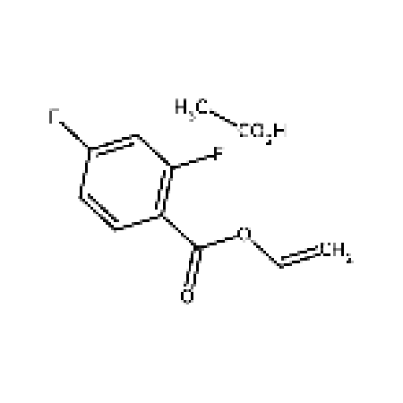 C=COC(=O)c1ccc(F)cc1F.CC(=O)O